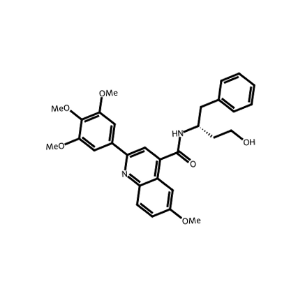 COc1ccc2nc(-c3cc(OC)c(OC)c(OC)c3)cc(C(=O)N[C@@H](CCO)Cc3ccccc3)c2c1